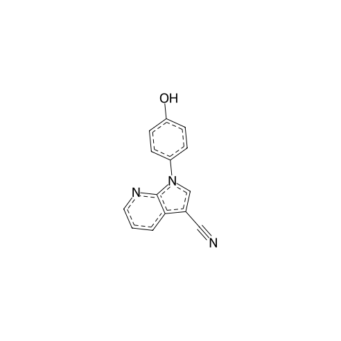 N#Cc1cn(-c2ccc(O)cc2)c2ncccc12